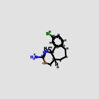 C[C@]12N=C(N)SC[C@H]1CCCc1ccc(Br)cc12